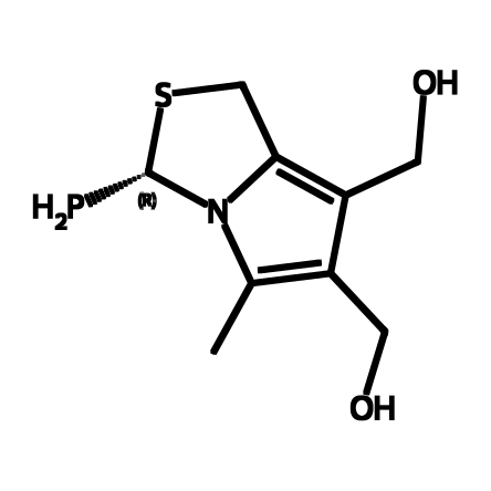 Cc1c(CO)c(CO)c2n1[C@H](P)SC2